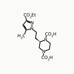 CCOC(=O)c1cc(C)n(CC[C@@H]2CN(C(=O)O)CCN2C(=O)O)n1